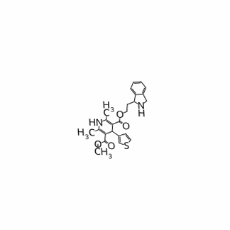 COC(=O)C1=C(C)NC(C)=C(C(=O)OCCC2NCc3ccccc32)C1c1ccsc1